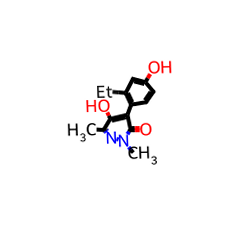 CCc1cc(O)ccc1-c1c(O)c(C)nn(C)c1=O